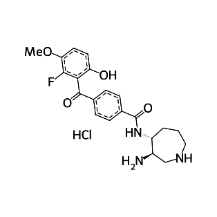 COc1ccc(O)c(C(=O)c2ccc(C(=O)N[C@@H]3CCCNC[C@H]3N)cc2)c1F.Cl